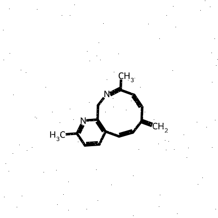 C=C1/C=C\C(C)=N/Cc2nc(C)ccc2/C=C\1